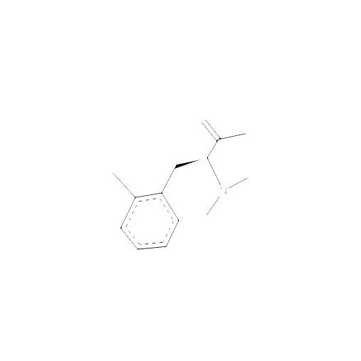 CC(=O)[C@H](Cc1ccccc1C)N(C)C